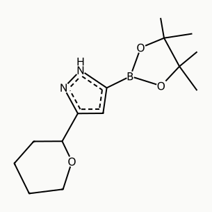 CC1(C)OB(c2cc(C3CCCCO3)n[nH]2)OC1(C)C